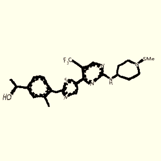 CSN1CCC(Nc2ncc(C(F)(F)F)c(-c3cnc(-c4ccc(C(C)O)cc4C)s3)n2)CC1